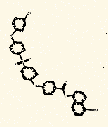 COc1cccc2c(OC(=O)c3ccc(Oc4ccc(S(=O)(=O)c5ccc(Oc6ccc(C(C)=O)cc6)cc5)cc4)cc3)cccc12